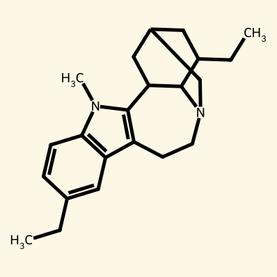 CCc1ccc2c(c1)c1c(n2C)C2CC3CC(CC)C2N(CC1)C3